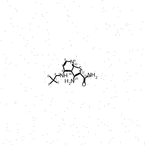 CC(C)(C)CNc1ccnc2sc(C(N)=O)c(N)c12